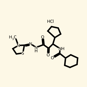 CN1CCSC1=NNC(=O)C(=O)C(NC(=O)C1CCCCC1)C1CCCC1.Cl